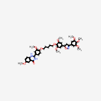 COc1ccc2c(c1)C(=O)NC(c1ccc(OCCCCCOc3c(OC)cc(C4CC(c5cc(OC)c(OC)c(OC)c5)=NO4)cc3OC)c(OC)c1)N2